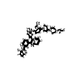 CCOc1cc(N2CCC(N3CCN(CC(F)F)CC3)CC2)ccc1Nc1nccc(-c2c(-c3cccc(C(=O)Nc4c(F)cccc4F)c3)nc3ccccn23)n1